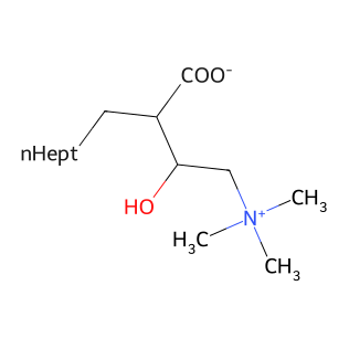 CCCCCCCCC(C(=O)[O-])C(O)C[N+](C)(C)C